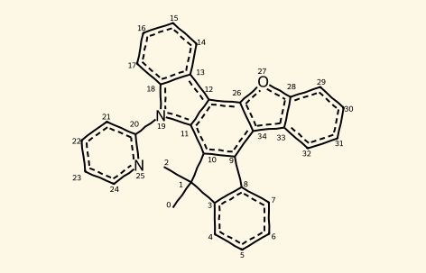 CC1(C)c2ccccc2-c2c1c1c(c3ccccc3n1-c1ccccn1)c1oc3ccccc3c21